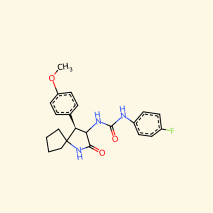 COc1ccc([C@H]2C(NC(=O)Nc3ccc(F)cc3)C(=O)NC23CCCC3)cc1